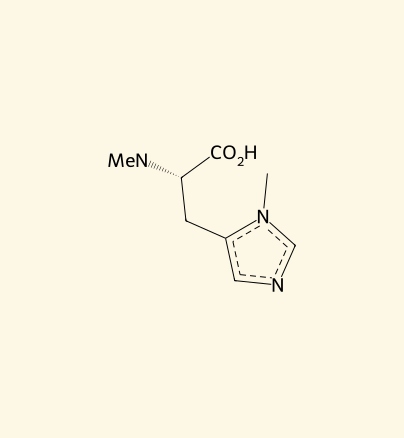 [CH2]N[C@@H](Cc1cncn1C)C(=O)O